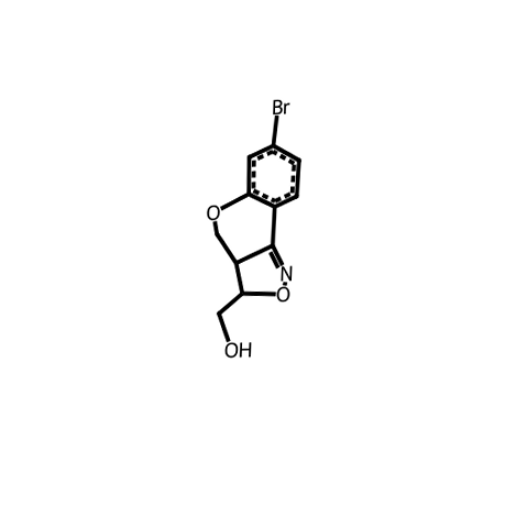 OCC1ON=C2c3ccc(Br)cc3OCC21